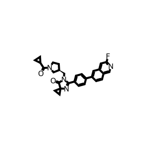 O=C(C1CC1)N1CC[C@@H](CN2C(=O)C3(CC3)N=C2c2ccc(-c3ccc4cnc(F)cc4c3)cc2)C1